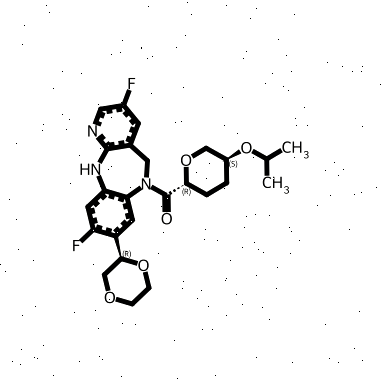 CC(C)O[C@H]1CC[C@H](C(=O)N2Cc3cc(F)cnc3Nc3cc(F)c([C@@H]4COCCO4)cc32)OC1